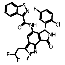 Cn1nc2c3c(c(NC(=O)c4nsc5ccccc45)cc2c1CC(F)F)[C@@H](c1cc(F)ccc1Cl)NC3=O